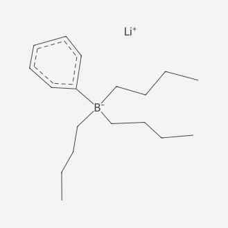 CCCC[B-](CCCC)(CCCC)c1ccccc1.[Li+]